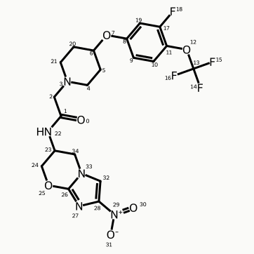 O=C(CN1CCC(Oc2ccc(OC(F)(F)F)c(F)c2)CC1)NC1COc2nc([N+](=O)[O-])cn2C1